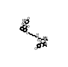 Cc1sc2c(c1C)C(c1ccc(Cl)cc1)=N[C@@H](CC(=O)NCCCCCCOc1cc3c4c(cccc4c1)C(=O)N(C1CCC(=O)NC1=O)C3=O)c1nnc(C)n1-2